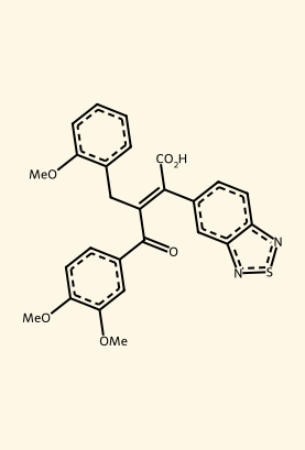 COc1ccccc1CC(C(=O)c1ccc(OC)c(OC)c1)=C(C(=O)O)c1ccc2nsnc2c1